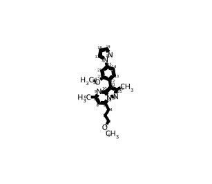 COCCCc1cc(C)nc2c(-c3ccc(-n4cccn4)cc3OC)c(C)nn12